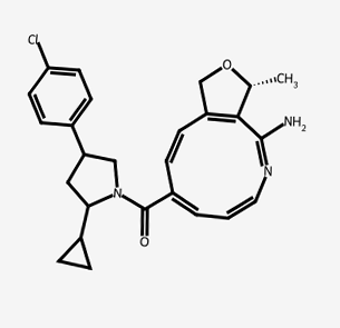 C[C@H]1OCc2ccc(C(=O)N3CC(c4ccc(Cl)cc4)CC3C3CC3)cccnc(N)c21